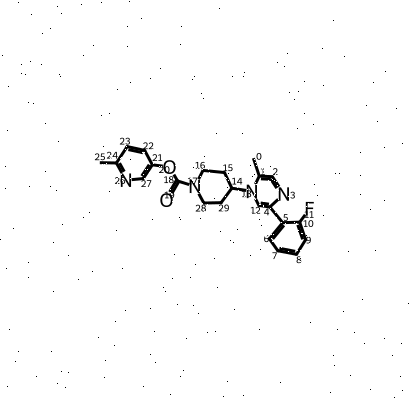 CC1=C=NC(c2ccccc2F)=CN1C1CCN(C(=O)Oc2ccc(C)nc2)CC1